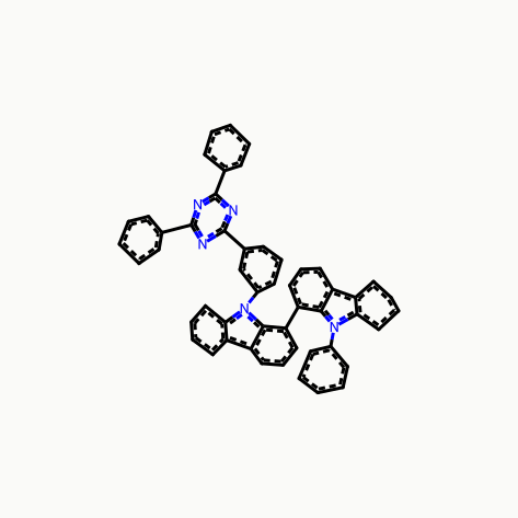 c1ccc(-c2nc(-c3ccccc3)nc(-c3cccc(-n4c5ccccc5c5cccc(-c6cccc7c8ccccc8n(-c8ccccc8)c67)c54)c3)n2)cc1